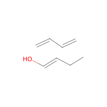 C=CC=C.CCC=CO